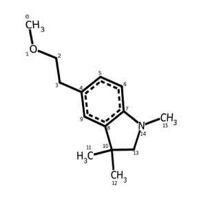 COCCc1ccc2c(c1)C(C)(C)CN2C